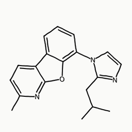 Cc1ccc2c(n1)oc1c(-n3ccnc3CC(C)C)cccc12